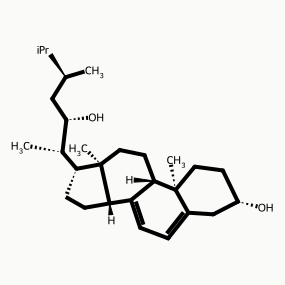 CC(C)[C@@H](C)C[C@H](O)[C@@H](C)[C@H]1CC[C@H]2C3=CC=C4C[C@@H](O)CC[C@]4(C)[C@H]3CC[C@]12C